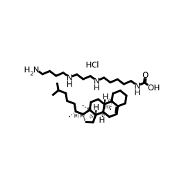 CC(C)CCC[C@@H](C)[C@H]1CC[C@H]2[C@@H]3CC=C4CCCC[C@]4(C)[C@H]3CC[C@]12C.Cl.NCCCCNCCCNCCCCCNC(=O)O